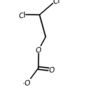 [O]C(=O)OCC(Cl)Cl